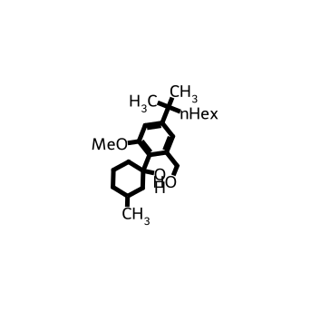 CCCCCCC(C)(C)c1cc(CO)c(C2(O)CCCC(C)C2)c(OC)c1